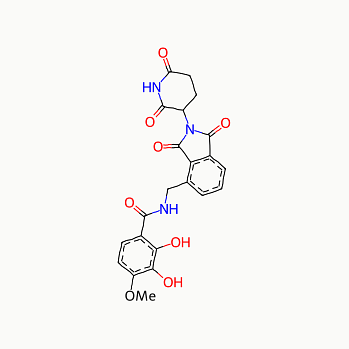 COc1ccc(C(=O)NCc2cccc3c2C(=O)N(C2CCC(=O)NC2=O)C3=O)c(O)c1O